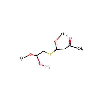 COC(CSC(CC(C)=O)OC)OC